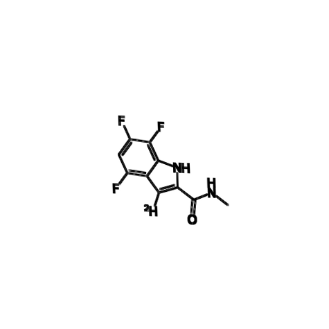 [2H]c1c(C(=O)NC)[nH]c2c(F)c(F)cc(F)c12